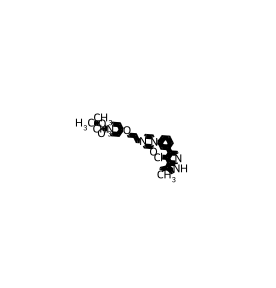 CCc1c[nH]c2ncc(-c3cccc(N4CCN(CCCOC5CCN(C(=O)OC(C)(C)C)CC5)CC4=O)c3)c(Cl)c12